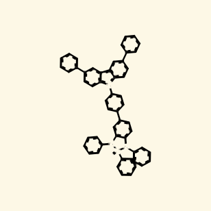 O=P1(c2ccccc2)N(c2ccccc2)c2ccc(-c3ccc(-n4c5ccc(-c6ccccc6)cc5c5cc(-c6ccccc6)ccc54)cc3)cc2N1c1ccccc1